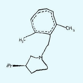 Cc1cccc(C)c1CN1CC[C@@H](C(C)C)C1